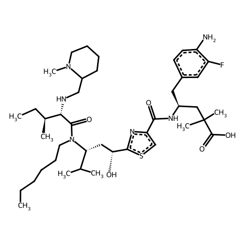 CCCCCCN(C(=O)[C@@H](NCC1CCCCN1C)[C@@H](C)CC)[C@H](C[C@@H](O)c1nc(C(=O)N[C@@H](Cc2ccc(N)c(F)c2)CC(C)(C)C(=O)O)cs1)C(C)C